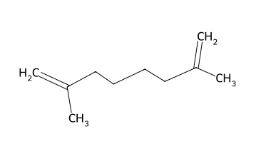 C=C(C)CCCCC(=C)C